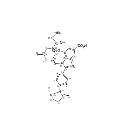 COc1cc(C(=O)O)cc2nc(-c3ccc(N4[C@@H](C)CC[C@@H]4C)nc3)n(C[C@@H]3CN(C(=O)OC(C)(C)C)C[C@H](C)O3)c12